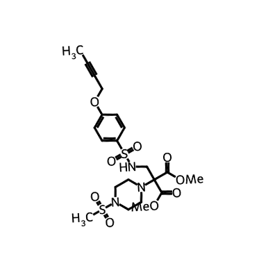 CC#CCOc1ccc(S(=O)(=O)NCC(C(=O)OC)(C(=O)OC)N2CCN(S(C)(=O)=O)CC2)cc1